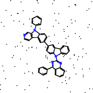 c1ccc(-c2nc(-n3c4ccccc4c4cc(-c5ccc6c(c5)c5ccncc5n6-c5ccccc5)ccc43)nc3ccccc23)cc1